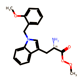 COOC(=O)[C@@H](N)Cc1cn(Cc2ccccc2OC)c2ccccc12